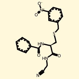 N#CCNC(=O)[C@H](CSCc1cccc([N+](=O)[O-])c1)NC(=O)c1ccccc1